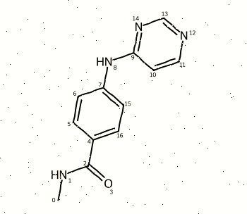 CNC(=O)c1ccc(Nc2ccncn2)cc1